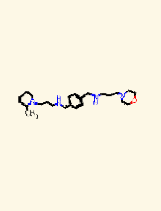 CC1CCCCN1CCCNCc1ccc(CNCCCN2CCOCC2)cc1